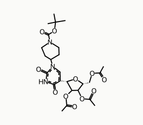 CC(=O)OC[C@H]1O[C@@H](c2cn(C3CCN(C(=O)OC(C)(C)C)CC3)c(=O)[nH]c2=O)C(OC(C)=O)C1OC(C)=O